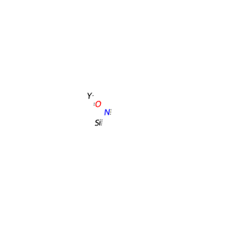 [N].[O].[Si].[Y]